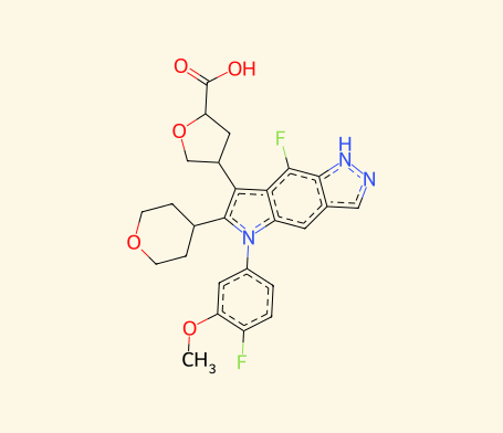 COc1cc(-n2c(C3CCOCC3)c(C3COC(C(=O)O)C3)c3c(F)c4[nH]ncc4cc32)ccc1F